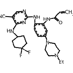 C=CC(=O)Nc1cc(N2CCN(CC)CC2)ccc1Nc1ncc(C#N)c(NC2CCC(F)(F)CC2)n1